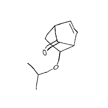 CC(C)OC1CC2C=CC1C2=O